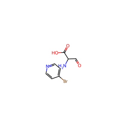 Brc1ccncc1.NC(C=O)C(=O)O